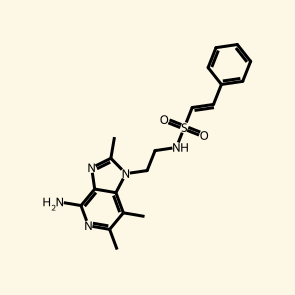 Cc1nc(N)c2nc(C)n(CCNS(=O)(=O)/C=C/c3ccccc3)c2c1C